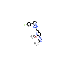 COc1nc(/C=C/c2nc3n(n2)CCCC3c2ccc(F)cc2)ccc1-n1cnc(C)c1